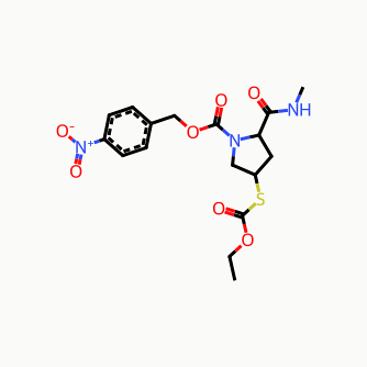 CCOC(=O)SC1CC(C(=O)NC)N(C(=O)OCc2ccc([N+](=O)[O-])cc2)C1